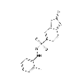 Cc1ccccc1NOS(=O)(=O)c1ccc2c(c1)=CC(=O)N=2